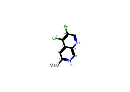 COc1cc2c(Cl)c(Br)cnc2cn1